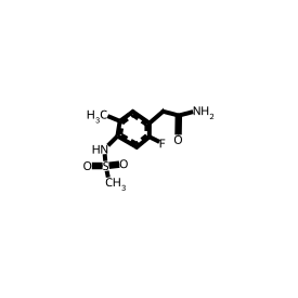 Cc1cc([CH]C(N)=O)c(F)cc1NS(C)(=O)=O